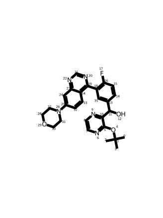 CC(C)(C)Oc1nccnc1C(O)c1ccc(F)c(-c2ncnc3cc(N4CCOCC4)ccc23)c1